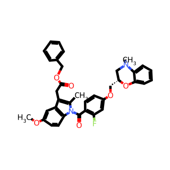 COc1ccc2c(c1)c(CC(=O)OCc1ccccc1)c(C)n2C(=O)c1ccc(OC[C@@H]2CN(C)c3ccccc3O2)cc1F